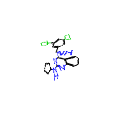 Clc1cc(Cl)cc(CNc2nc(NC3CCCC3)nc3ccccc23)c1